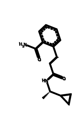 C[C@H](NC(=O)C[CH]c1ccccc1C(N)=O)C1CC1